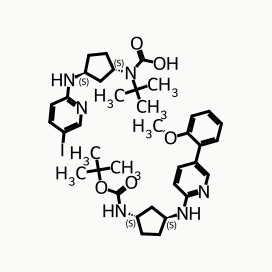 CC(C)(C)N(C(=O)O)[C@H]1CC[C@H](Nc2ccc(I)cn2)C1.COc1ccccc1-c1ccc(N[C@H]2CC[C@H](NC(=O)OC(C)(C)C)C2)nc1